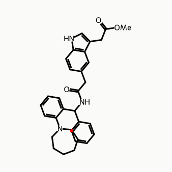 COC(=O)Cc1c[nH]c2ccc(CC(=O)NC(c3ccccc3)c3ccccc3N3CCCCCC3)cc12